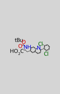 CC(C)(C)OC(=O)N[C@@H](Cc1ccc2nc(-c3c(Cl)cccc3Cl)ccc2c1)C(=O)O